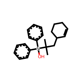 CC(C)(CC1C=CCCC1)[Si](O)(c1ccccc1)c1ccccc1